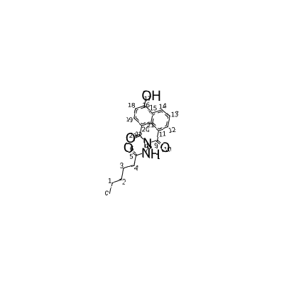 CCCCCC(=O)NN1C(=O)c2cccc3c(O)ccc(c23)C1=O